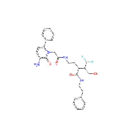 Nc1ccc(-c2ccccc2)n(CC(=O)NCCC(C(=O)NCCc2ccccc2)C(CO)C(F)F)c1=O